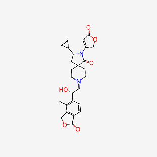 Cc1c([C@H](O)CN2CCC3(CC2)CC(C2CC2)N(C2=CC(=O)OC2)C3=O)ccc2c1COC2=O